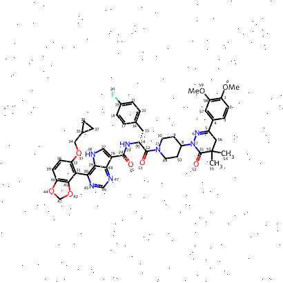 COc1ccc(C2=NN(C3CCN(C(=O)[C@@H](Cc4ccc(F)cc4)NC(=O)c4c[nH]c5c(-c6c(OCC7CC7)ccc7c6OCO7)ncnc45)CC3)C(=O)C(C)(C)C2)cc1OC